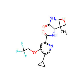 CC1([C@H](NC(=O)c2cc(OCC(F)(F)F)c(C3CC3)cn2)C(N)=O)COC1